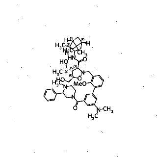 COc1c(CN2O[C@@H](CO)[C@H]([C@H](C)O)[C@H]2C(=O)NC2C[C@H]3C[C@@H]([C@@H]2C)C3(C)C)cccc1-c1cc(C(=O)N2CCN(C)C(c3ccccc3)C2)cc(N(C)C)c1